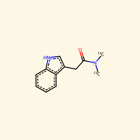 [13CH3]N([13CH3])C(=O)Cc1c[nH]c2ccccc12